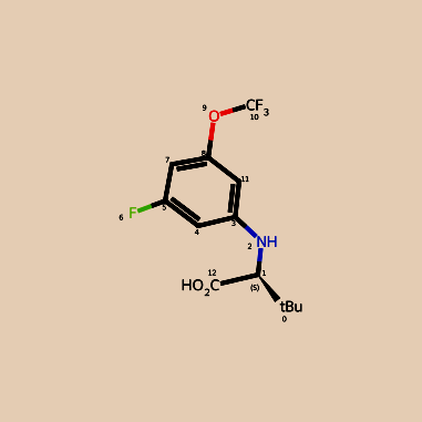 CC(C)(C)[C@H](Nc1cc(F)cc(OC(F)(F)F)c1)C(=O)O